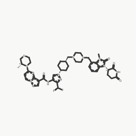 C[C@@H]1COCCN1c1ccn2ncc(C(=O)Nc3cn([C@H]4CC[C@H](CN5CCN(Cc6cccc7c6n(C)c(=O)n7[C@H]6CCC(=O)NC6=O)CC5)CC4)nc3C(F)F)c2n1